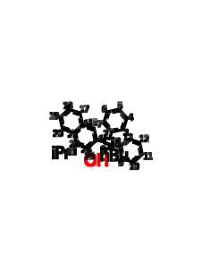 CCCC[Si](c1ccccc1)(c1ccccc1)c1cc2ccccc2c(C(C)C)c1O